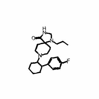 CCCN1CNC(=O)C12CCN(C1CCCCC1c1ccc(F)cc1)CC2